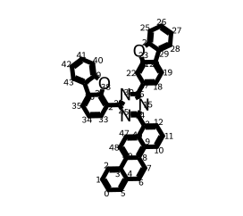 c1ccc2c(c1)ccc1c3cccc(-c4nc(-c5ccc6c(c5)oc5ccccc56)nc(-c5cccc6c5oc5ccccc56)n4)c3ccc21